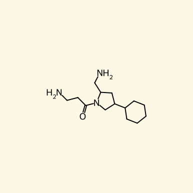 NCCC(=O)N1CC(C2CCCCC2)CC1CN